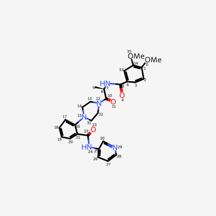 COc1ccc(C(=O)N[C@H](C)C(=O)N2CCN(c3ccccc3C(=O)Nc3cccnc3)CC2)cc1OC